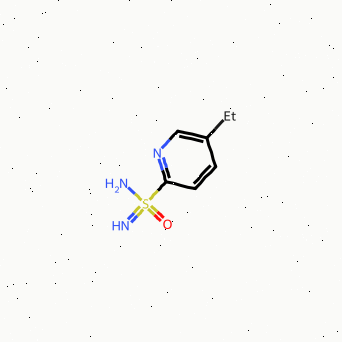 CCc1ccc(S(=N)(N)=O)nc1